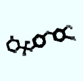 CCC(C)(Oc1ccc(Sc2ccc(N)c(N)c2)cc1)C1CNCCO1